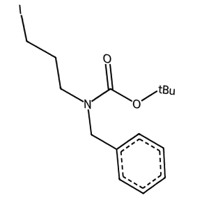 CC(C)(C)OC(=O)N(CCCI)Cc1ccccc1